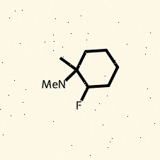 CNC1(C)CCCCC1F